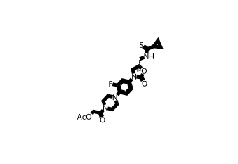 CC(=O)OCC(=O)N1CCN(c2ccc(N3C[C@H](CNC(=S)C4CC4)OC3=O)cc2F)CC1